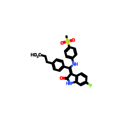 CS(=O)(=O)c1ccc(NC(=C2C(=O)Nc3cc(F)ccc32)c2ccc(CCC(=O)O)cc2)cc1